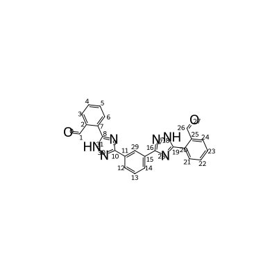 O=Cc1ccccc1-c1nc(-c2cccc(-c3n[nH]c(-c4ccccc4C=O)n3)c2)n[nH]1